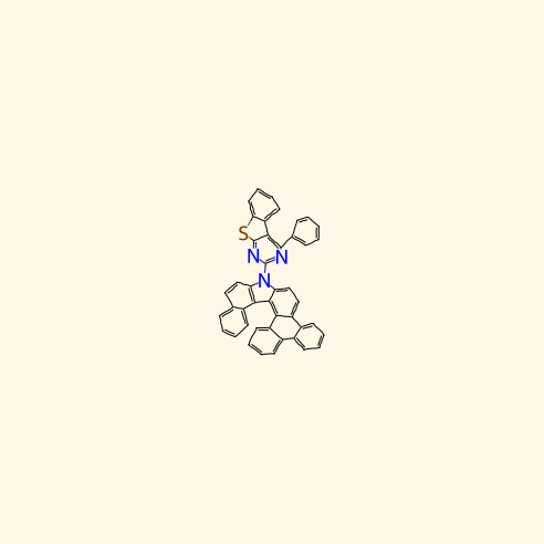 c1ccc(-c2nc(-n3c4ccc5ccccc5c4c4c5c6ccccc6c6ccccc6c5ccc43)nc3sc4ccccc4c23)cc1